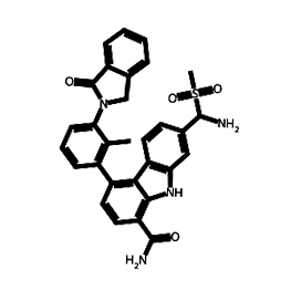 Cc1c(-c2ccc(C(N)=O)c3[nH]c4cc(C(N)S(C)(=O)=O)ccc4c23)cccc1N1Cc2ccccc2C1=O